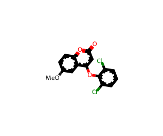 COc1ccc2oc(=O)cc(Oc3c(Cl)cccc3Cl)c2c1